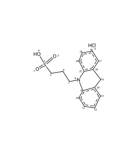 Cl.O=S(=O)(O)CCCN1c2ccccc2Cc2ccccc21